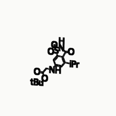 CC(C)c1cc(NCC(=O)OC(C)(C)C)cc2c1C(=O)NS2(=O)=O